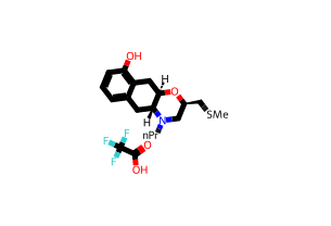 CCCN1C[C@H](CSC)O[C@@H]2Cc3c(O)cccc3C[C@H]21.O=C(O)C(F)(F)F